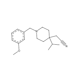 COc1cccc(CN2CCC(CC#N)(C(C)C)CC2)c1